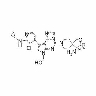 C[C@@H]1OCC2(CCN(c3nc4c(c(-c5ccnc(NC6CC6)c5Cl)cn4CO)c4nccn34)CC2)[C@@H]1N